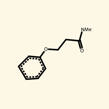 CNC(=O)CCOc1ccccc1